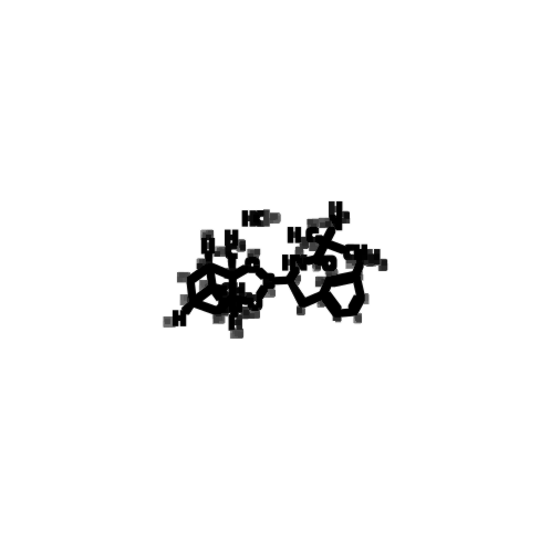 Cc1cccc(C[C@H](NC(=O)C(C)(C)N)B2O[C@@H]3C[C@@H]4C[C@@H](C4(C)C)[C@]3(C)O2)c1.Cl